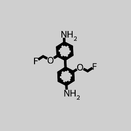 Nc1ccc(-c2ccc(N)cc2OCF)c(OCF)c1